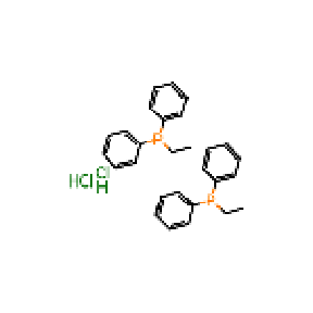 CCP(c1ccccc1)c1ccccc1.CCP(c1ccccc1)c1ccccc1.Cl.Cl